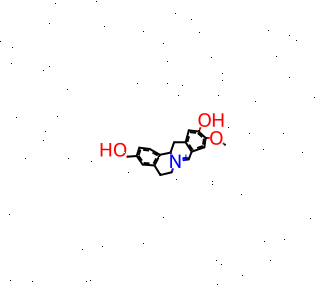 COc1cc2c(cc1O)CC1c3ccc(CO)cc3CC[N+]1=C2